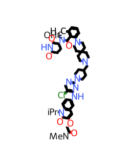 CNC(=O)COc1cc2cc(Nc3nc(N4CCC(CN5CCC6(CC5)CCN(c5cccc(C)c5C(=O)N(C=O)C5CCC(=O)NC5=O)CC6)CC4)ncc3Cl)ccc2n(C(C)C)c1=O